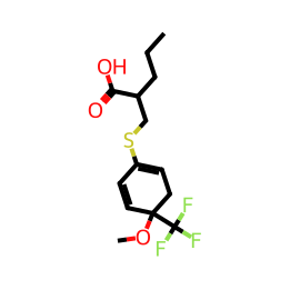 CCCC(CSC1=CCC(OC)(C(F)(F)F)C=C1)C(=O)O